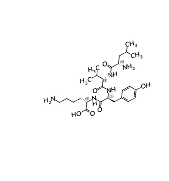 CC(C)C[C@H](N)C(=O)N[C@H](C(=O)N[C@@H](Cc1ccc(O)cc1)C(=O)N[C@@H](CCCCN)C(=O)O)C(C)C